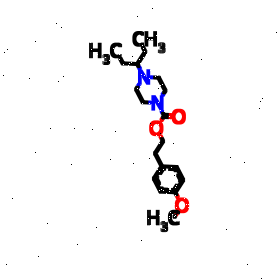 CCC(CC)N1CCN(C(=O)OCCc2ccc(OC)cc2)CC1